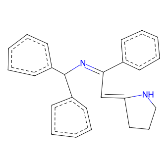 C(=C1CCCN1)C(=NC(c1ccccc1)c1ccccc1)c1ccccc1